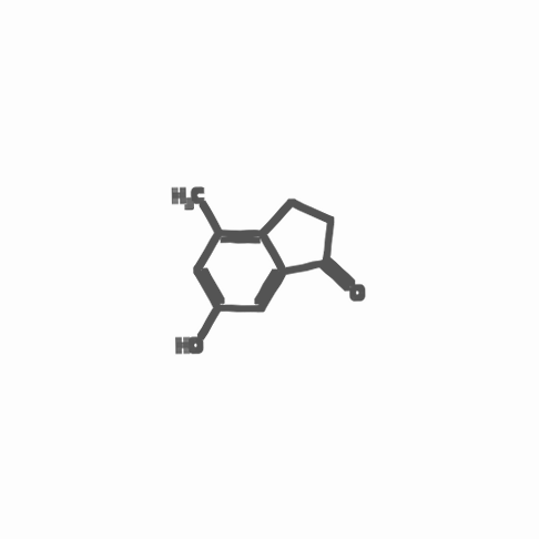 Cc1cc(O)cc2c1CCC2=O